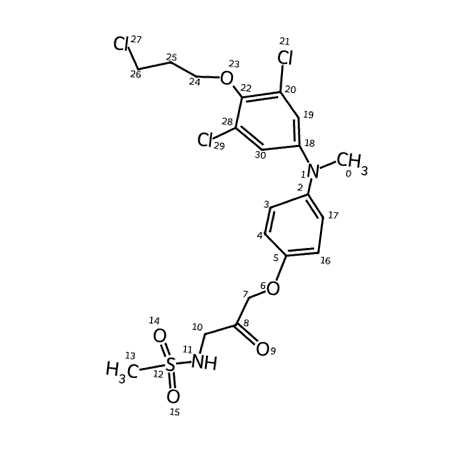 CN(c1ccc(OCC(=O)CNS(C)(=O)=O)cc1)c1cc(Cl)c(OCCCCl)c(Cl)c1